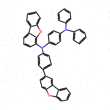 c1ccc(N(c2ccccc2)c2ccc(N(c3ccc(-c4ccc5oc6ccccc6c5c4)cc3)c3cccc4c3oc3ccccc34)cc2)cc1